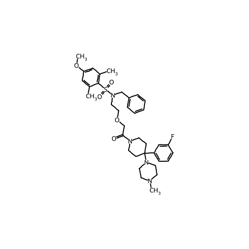 COc1cc(C)c(S(=O)(=O)N(CCOCC(=O)N2CCC(c3cccc(F)c3)(N3CCN(C)CC3)CC2)Cc2ccccc2)c(C)c1